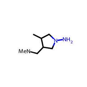 CNCC1CN(N)CC1C